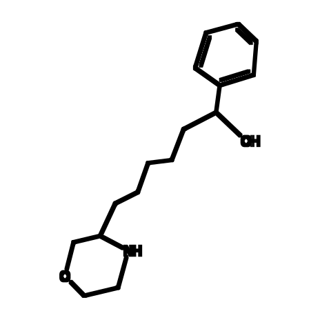 OC(CCCCCC1COCCN1)c1ccccc1